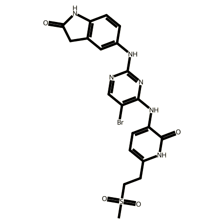 CS(=O)(=O)CCc1ccc(Nc2nc(Nc3ccc4c(c3)CC(=O)N4)ncc2Br)c(=O)[nH]1